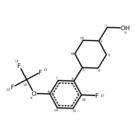 OCC1CCC(c2cc(OC(F)(F)F)ccc2F)CC1